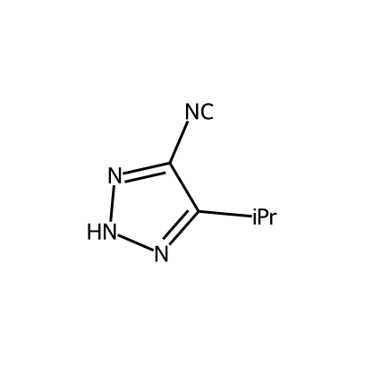 [C-]#[N+]c1n[nH]nc1C(C)C